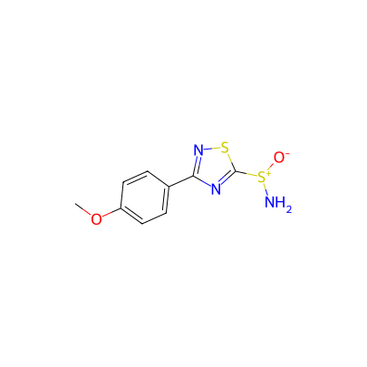 COc1ccc(-c2nsc([S+](N)[O-])n2)cc1